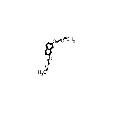 C=COCCOc1ccc2ccc(OCCOC=C)cc2c1